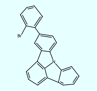 Brc1ccccc1-c1ccc2c(c1)c1cccc3c4ccccc4n2c31